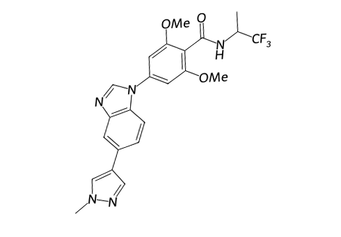 COc1cc(-n2cnc3cc(-c4cnn(C)c4)ccc32)cc(OC)c1C(=O)NC(C)C(F)(F)F